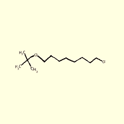 CC(C)(C)OCCCCCCCCCl